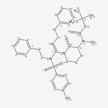 Cc1ccc(S(=O)(=O)N(CCc2ccccc2)C(=NCCc2ccccc2)N2CCCC(N(C)C(=O)OC(C)(C)C)C2=O)cc1